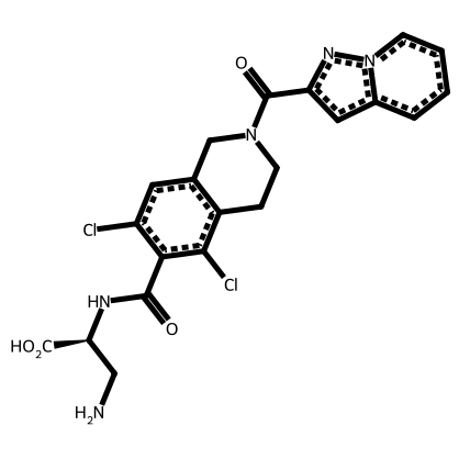 NC[C@H](NC(=O)c1c(Cl)cc2c(c1Cl)CCN(C(=O)c1cc3ccccn3n1)C2)C(=O)O